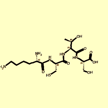 C[C@@H](O)[C@H](NC(=O)[C@H](CS)NC(=O)[C@@H](N)CCCCN)C(=O)N[C@@H](CO)C(=O)O